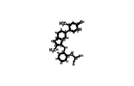 Cc1cc(=O)[nH]cc1-c1ccc2nc(C)c(Cc3ccccc3OC(F)F)n2c1